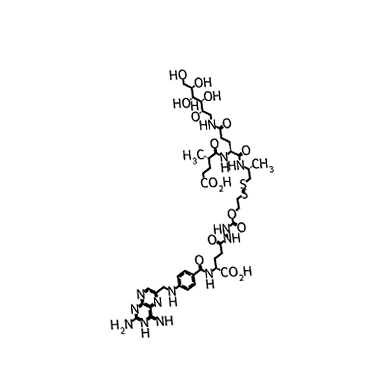 C[C@H](CSSCCOC(=O)NNC(=O)CC[C@H](NC(=O)c1ccc(NCc2cnc3nc(N)[nH]c(=N)c3n2)cc1)C(=O)O)NC(=O)[C@H](CCC(=O)NC[C@H](O)[C@@H](O)[C@H](O)[C@H](O)CO)NC(=O)[C@@H](C)CCC(=O)O